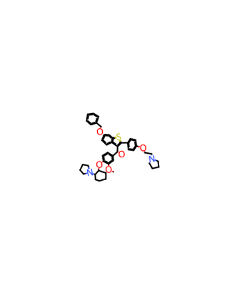 COc1cc(C(=O)c2c(-c3ccc(OCCN4CCCC4)cc3)sc3cc(OCc4ccccc4)ccc23)ccc1OC1CCCCC1N1CCCC1